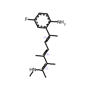 CN\C(C)=C(C)/C(C)=C/C=C(\C)c1cc(F)ccc1N